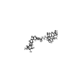 CCc1nc2c(cnn2CC)c(NC2CCOCC2)c1CNC(=O)CCCC(=O)NCc1ccc(F)c(-c2cccc(CN3C(C)C(C)NC(C)C3C)c2)c1